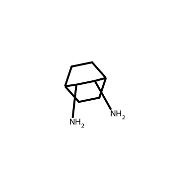 NC1C2CCC(CC2)C1N